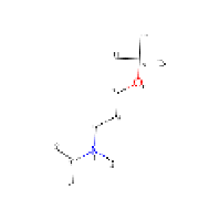 CC(C)N(C)CCCOC(C)(C)C